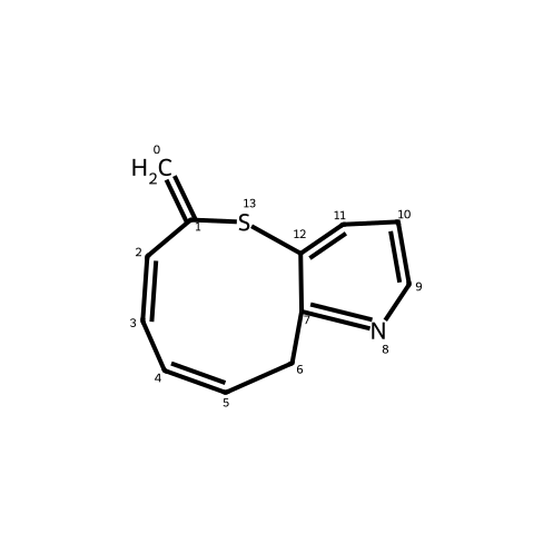 C=C1/C=C\C=C/Cc2ncccc2S1